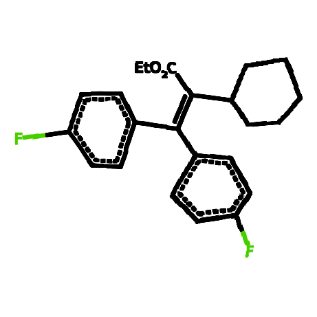 CCOC(=O)C(=C(c1ccc(F)cc1)c1ccc(F)cc1)C1CCCCC1